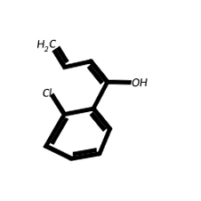 C=C/C=C(/O)c1ccccc1Cl